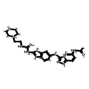 CC(=O)Nc1ccc2nnc(Sc3ccc4nc(NC(=O)NCCN5CCOCC5)sc4c3)n2n1